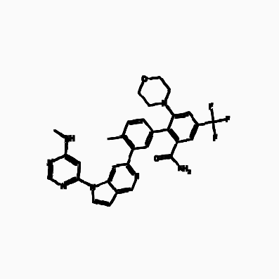 CNc1cc(-n2ccc3cnc(-c4cc(-c5c(C(N)=O)cc(C(F)(F)F)cc5N5CCOCC5)ccc4C)cc32)ncn1